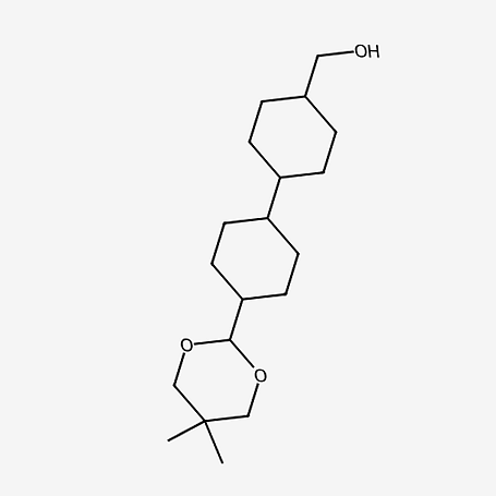 CC1(C)COC(C2CCC(C3CCC(CO)CC3)CC2)OC1